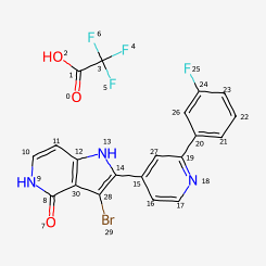 O=C(O)C(F)(F)F.O=c1[nH]ccc2[nH]c(-c3ccnc(-c4cccc(F)c4)c3)c(Br)c12